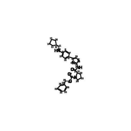 O=C(Nc1nc(-c2ccc(NCC3CCCC3)cc2)cs1)C1CCCN1C(=O)OCc1ccccc1